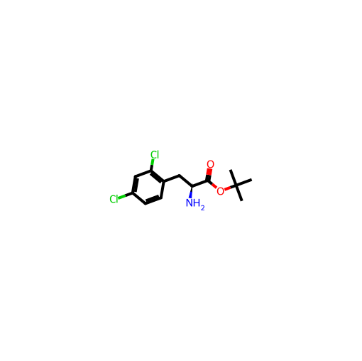 CC(C)(C)OC(=O)[C@@H](N)Cc1ccc(Cl)cc1Cl